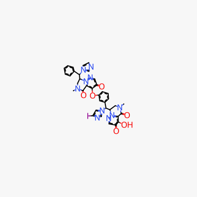 CN1CC(C(c2cccc(Oc3c4n(ncc3=O)C(C(c3ccccc3)n3ccnc3)CN(C)C4=O)c2)n2cnc(I)c2)n2ncc(=O)c(O)c2C1=O